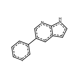 [c]1cccc(-c2cnc3[nH]ccc3c2)c1